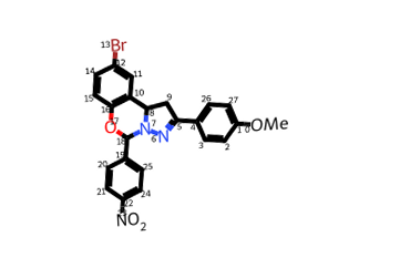 COc1ccc(C2=NN3C(C2)c2cc(Br)ccc2OC3c2ccc([N+](=O)[O-])cc2)cc1